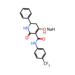 O=C(Nc1ccc(C(F)(F)F)cc1)C1=C(O)CC(c2ccccc2)NC1=O.[NaH]